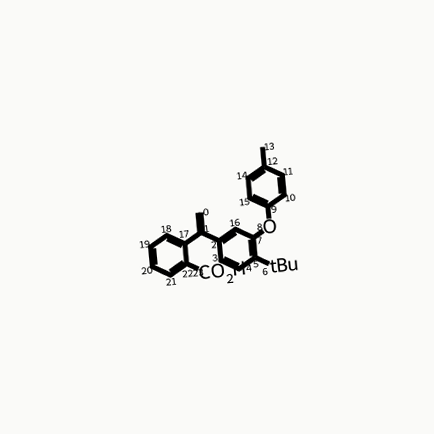 C=C(c1ccc(C(C)(C)C)c(Oc2ccc(C)cc2)c1)c1ccccc1C(=O)O